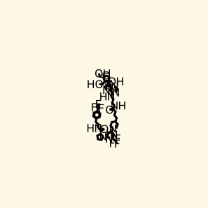 O=C(CCCC1CCN(c2cc(N3CCC[C@H]3C(=O)NCCc3ccc(C(F)(F)F)cc3)nc(C(F)(F)F)n2)CC1)NCCNc1ncnc2c1ncn2C1(O)CO[C@H](CO)C1CO